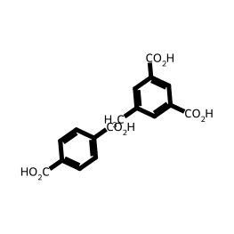 Cc1cc(C(=O)O)cc(C(=O)O)c1.O=C(O)c1ccc(C(=O)O)cc1